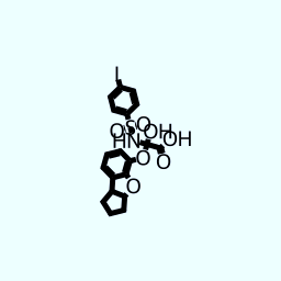 O=C(O)C(O)(NS(=O)(=O)c1ccc(I)cc1)Oc1cccc2c1OC1CCCC21